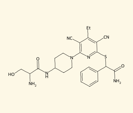 CCc1c(C#N)c(SC(C(N)=O)c2ccccc2)nc(N2CCC(NC(=O)C(N)CO)CC2)c1C#N